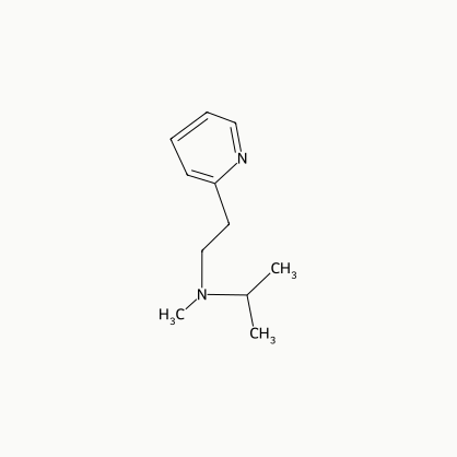 CC(C)N(C)CCc1ccccn1